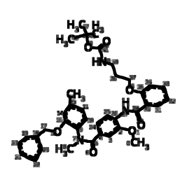 COc1cc(C(=O)N(C)c2ccc(C)cc2OCc2ccccc2)ccc1NC(=O)c1ccccc1OCCCNC(=O)OC(C)(C)C